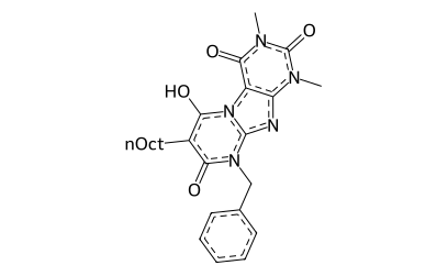 CCCCCCCCc1c(O)n2c3c(=O)n(C)c(=O)n(C)c3nc2n(Cc2ccccc2)c1=O